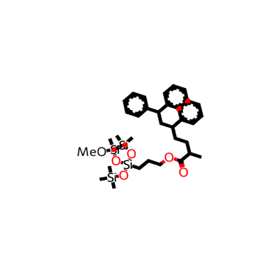 CO[Si](C)(C)O[Si](CCCOC(=O)C(C)CCC(CC(c1ccccc1)c1ccccc1)c1ccccc1)(O[Si](C)(C)C)O[Si](C)(C)C